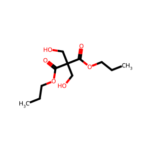 CCCOC(=O)C(CO)(CO)C(=O)OCCC